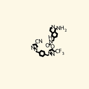 N#Cc1cnn(Cc2ccc(Cn3cc(OC(=O)NCc4ccc5c(N)nccc5c4)c(C(F)(F)F)n3)cc2)c1